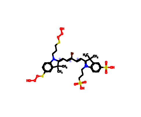 CC1(C)C(/C=C/C(Br)=C/C=C2/N(CCCSOOO)c3ccc(SOOO)cc3C2(C)C)=[N+](CCCS(=O)(=O)O)c2ccc(S(=O)(=O)O)cc21